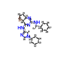 CC(Nc1nc(Nc2cn(-c3ccccc3)cn2)c2sccc2n1)c1ccccc1